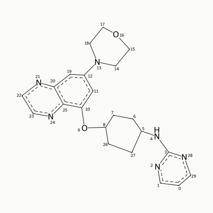 c1cnc(NC2CCC(Oc3cc(N4CCOCC4)cc4nccnc34)CC2)nc1